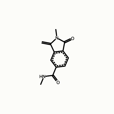 C=C1c2cc(C(=O)NC)ccc2C(=O)N1C